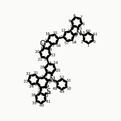 c1ccc(-n2c3ccccc3c3cc(-c4ccc5oc6ccc(-c7ccc8c(c7)c7c9ccccc9c9c%10ccccc%10sc9c7n8-c7ccccc7)cc6c5c4)ccc32)cc1